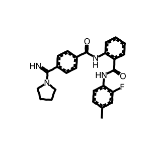 Cc1ccc(NC(=O)c2ccccc2NC(=O)c2ccc(C(=N)N3CCCC3)cc2)c(F)c1